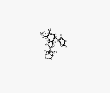 O=C(O)N1C2CCC1CN(c1nc3c(OC(F)(F)F)c(Cl)cc(-c4ccco4)c3o1)C2